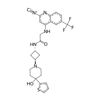 [C-]#[N+]c1cc(NCC(=O)N[C@H]2C[C@H](N3CCC(O)(c4cccs4)CC3)C2)c2cc(C(F)(F)F)ccc2n1